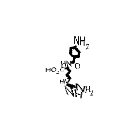 N=C(N)NCCCC(NC(=O)c1ccc(N)cc1)C(=O)O